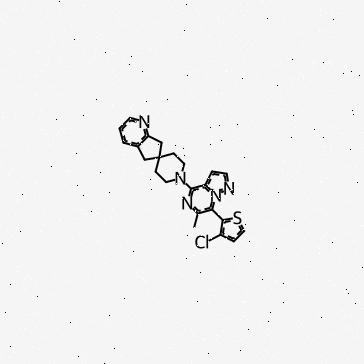 Cc1nc(N2CCC3(CC2)Cc2cccnc2C3)c2ccnn2c1-c1sccc1Cl